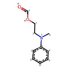 CN(CCO[C]=O)c1ccccc1